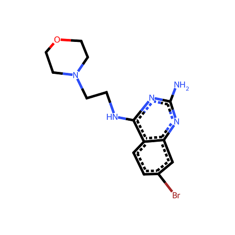 Nc1nc(NCCN2CCOCC2)c2ccc(Br)cc2n1